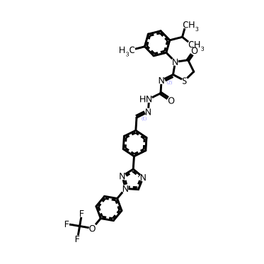 Cc1ccc(C(C)C)c(N2C(=O)CS/C2=N\C(=O)N/N=C/c2ccc(-c3ncn(-c4ccc(OC(F)(F)F)cc4)n3)cc2)c1